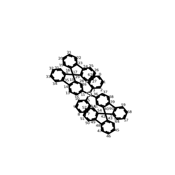 c1ccc([Si](c2ccccc2)(c2ccc3c(c2)C2(c4ccccc4-c4ccccc42)c2ccccc2-3)c2ccc3c(c2)C2(c4ccccc4-c4ccccc42)c2ccccc2-3)cc1